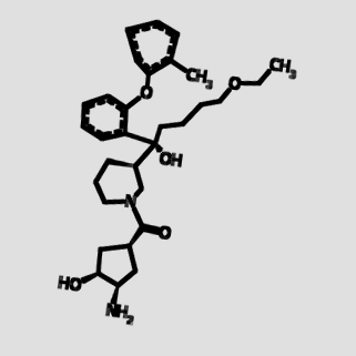 CCOCCCC[C@@](O)(c1ccccc1Oc1ccccc1C)[C@@H]1CCCN(C(=O)[C@H]2C[C@@H](N)[C@@H](O)C2)C1